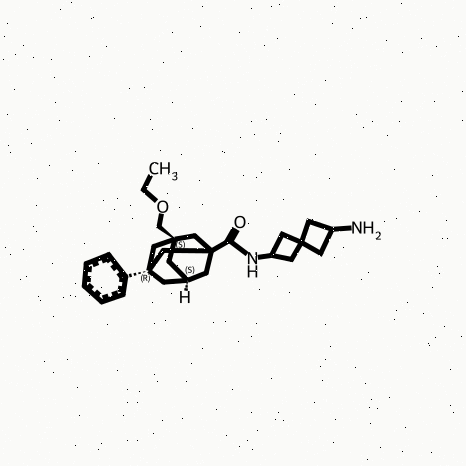 CCOC[C@]12C[C@H]3CC(C(=O)NC4CC5(CC(N)C5)C4)(C1)C[C@@](c1ccccc1)(C3)C2